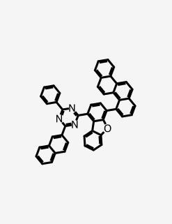 c1ccc(-c2nc(-c3ccc4ccccc4c3)nc(-c3ccc(-c4cccc5ccc6c7ccccc7ccc6c45)c4oc5ccccc5c34)n2)cc1